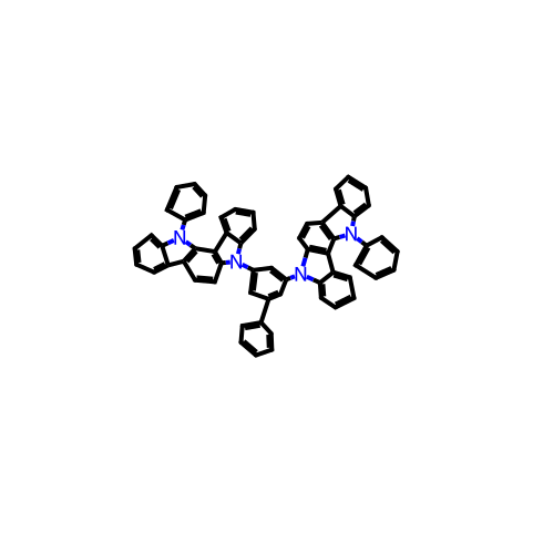 c1ccc(-c2cc(-n3c4ccccc4c4c3ccc3c5ccccc5n(-c5ccccc5)c34)cc(-n3c4ccccc4c4c3ccc3c5ccccc5n(-c5ccccc5)c34)c2)cc1